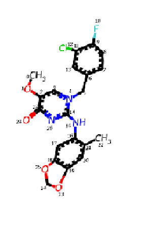 COc1cn(Cc2ccc(F)c(Cl)c2)c(Nc2cc3c(cc2C)OCO3)nc1=O